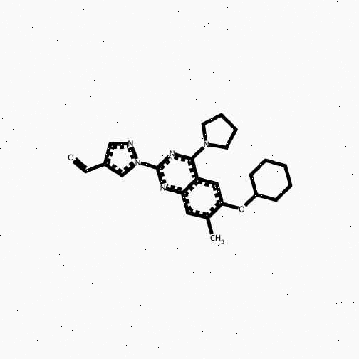 Cc1cc2nc(-n3cc(C=O)cn3)nc(N3CCCC3)c2cc1OC1CCCCC1